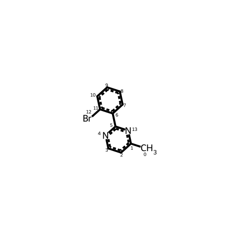 Cc1ccnc(-c2ccccc2Br)n1